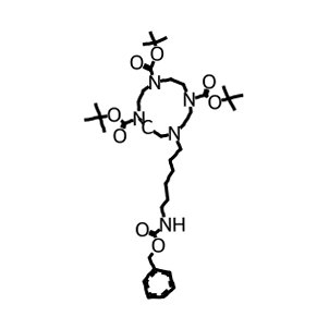 CC(C)(C)OC(=O)N1CCN(CCCCCCNC(=O)OCc2ccccc2)CCN(C(=O)OC(C)(C)C)CCN(C(=O)OC(C)(C)C)CC1